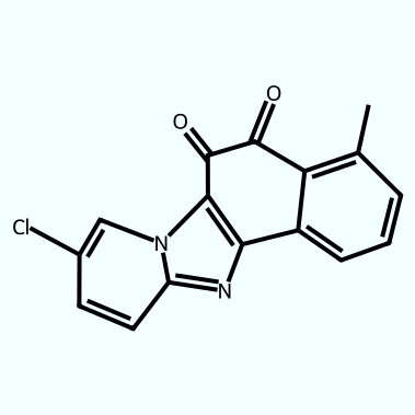 Cc1cccc2c1C(=O)C(=O)c1c-2nc2ccc(Cl)cn12